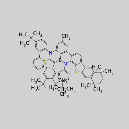 Cc1cc2c3c(c1)N(c1ccc(C(C)(C)C)cc1-c1ccccc1)c1sc4cc5c(cc4c1B3N(c1ccc(C(C)(C)C)cc1)c1c-2ccc2c1sc1cc3c(cc12)C(C)(C)CCC3(C)C)C(C)(C)CCC5(C)C